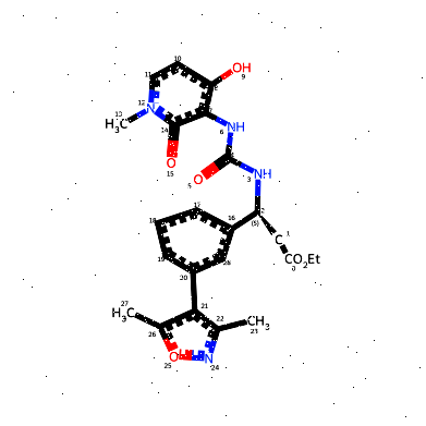 CCOC(=O)C[C@H](NC(=O)Nc1c(O)ccn(C)c1=O)c1cccc(-c2c(C)noc2C)c1